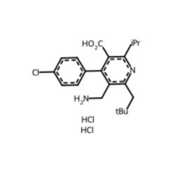 CC(C)c1nc(CC(C)(C)C)c(CN)c(-c2ccc(Cl)cc2)c1C(=O)O.Cl.Cl